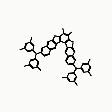 Cc1cc(C)cc(N(c2cc(C)cc(C)c2)c2ccc3cc4c(cc3c2)oc2c(C)c(C)c3oc5cc6cc(N(c7cc(C)cc(C)c7)c7cc(C)cc(C)c7)ccc6cc5c3c24)c1